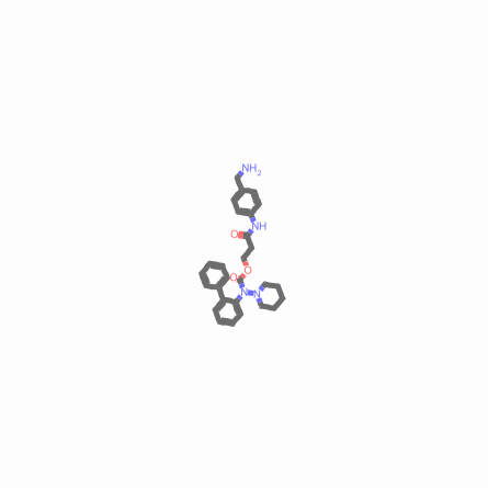 NCc1ccc(NC(=O)CCOC(=O)N(c2ccccc2-c2ccccc2)N2CC[CH]CC2)cc1